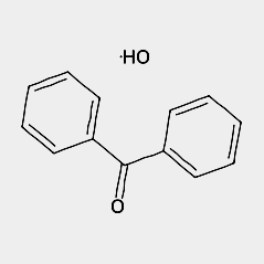 O=C(c1ccccc1)c1ccccc1.[OH]